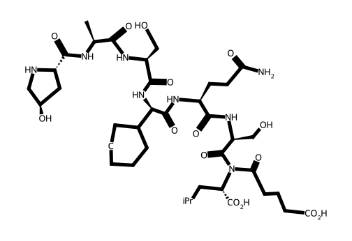 CC(C)C[C@@H](C(=O)O)N(C(=O)CCCC(=O)O)C(=O)[C@H](CO)NC(=O)[C@H](CCC(N)=O)NC(=O)[C@H](NC(=O)[C@H](CO)NC(=O)[C@H](C)NC(=O)[C@@H]1C[C@@H](O)CN1)C1CCCCC1